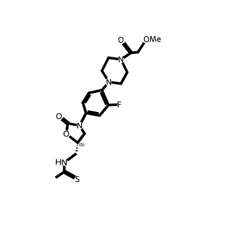 COCC(=O)N1CCN(c2ccc(N3C[C@H](CNC(C)=S)OC3=O)cc2F)CC1